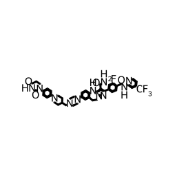 NC(=O)c1c(-c2ccc(C(=O)Nc3cc(C(F)(F)F)ccn3)c(F)c2)nn2c1Nc1ccc(N3CCN(CC4CCN(c5ccc(N6CCC(=O)NC6=O)cc5)CC4)CC3)cc1CC2